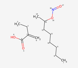 C=C(CC)C(=O)O.CCCCCCC(C)ON=O